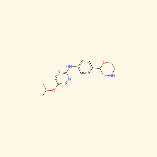 CC(C)Oc1cnc(Nc2ccc(C3CNCCO3)cc2)nc1